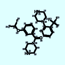 FC(F)(F)c1cccnc1N1CCNCC1.O=C(c1cccc(OC(F)F)c1)N1CCNCC1